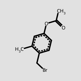 CC(=O)Oc1ccc(CBr)c(C)c1